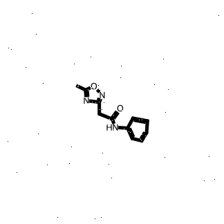 Cc1nc(CC(=O)Nc2ccccc2)no1